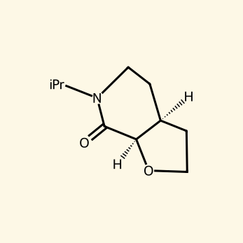 CC(C)N1CC[C@H]2CCO[C@H]2C1=O